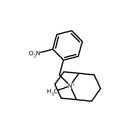 C[N+]1(Cc2ccccc2[N+](=O)[O-])C2C[CH]CC1CCC2